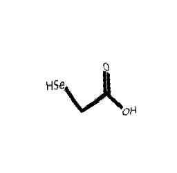 O=C(O)C[SeH]